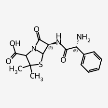 CC1(C)SC2[C@H](NC(=O)[C@H](N)c3ccccc3)C(=O)N2C1C(=O)O